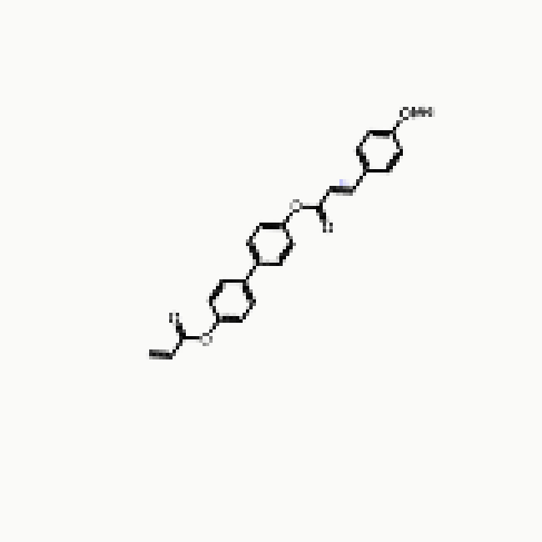 C=CC(=O)Oc1ccc(-c2ccc(OC(=O)/C=C/c3ccc(OC)cc3)cc2)cc1